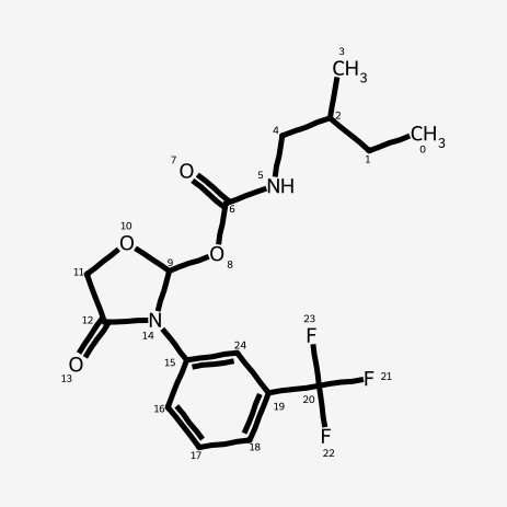 CCC(C)CNC(=O)OC1OCC(=O)N1c1cccc(C(F)(F)F)c1